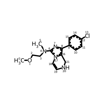 COCCN(C)c1nc(-c2ccc(Cl)cc2)c2n1C=CNC2